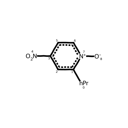 CCCc1cc([N+](=O)[O-])cc[n+]1[O-]